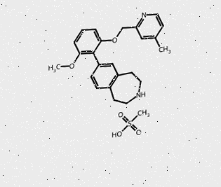 COc1cccc(OCc2cc(C)ccn2)c1-c1ccc2c(c1)CCNCC2.CS(=O)(=O)O